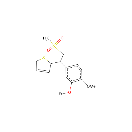 CCOc1cc(C(CS(C)(=O)=O)C2C=CCS2)ccc1OC